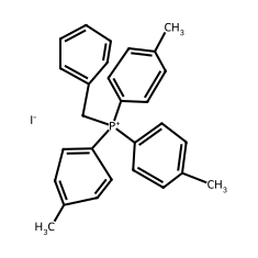 Cc1ccc([P+](Cc2ccccc2)(c2ccc(C)cc2)c2ccc(C)cc2)cc1.[I-]